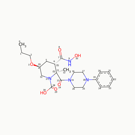 CCCO[C@H]1C[C@H](C(=O)NO)[C@@](C)(C(=O)N2CCN(c3ccccc3)CC2)N(C(=O)O)C1